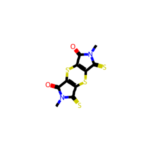 Cn1c(=O)c2sc3c(=O)n(C)c(=S)c3sc2c1=S